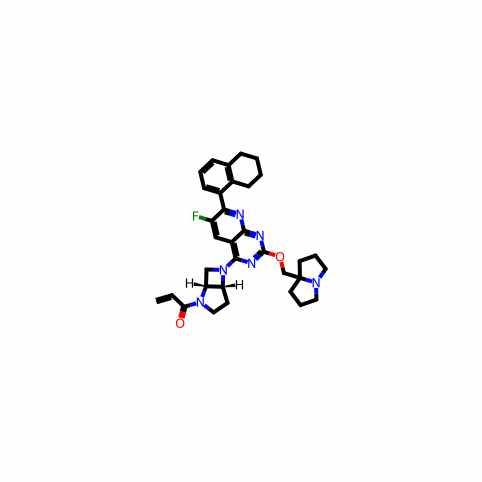 C=CC(=O)N1CC[C@@H]2[C@H]1CN2c1nc(OCC23CCCN2CCC3)nc2nc(-c3cccc4c3CCCC4)c(F)cc12